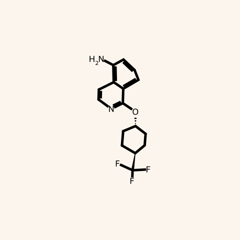 Nc1cccc2c(O[C@H]3CC[C@H](C(F)(F)F)CC3)nccc12